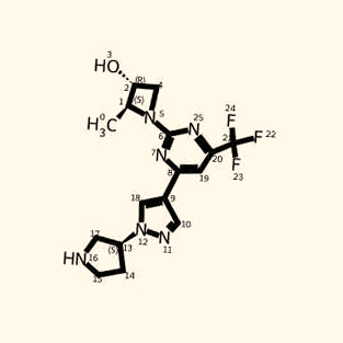 C[C@H]1[C@H](O)CN1c1nc(-c2cnn([C@H]3CCNC3)c2)cc(C(F)(F)F)n1